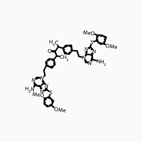 COc1ccc(OC)c(Sc2nc3c(N)ncn(CCc4ccc(C(C)C(=O)C(C)c5ccc(CCn6cnc(N)c7nc(Sc8cc(OC)ccc8OC)nc6-7)cc5)cc4)c-3n2)c1